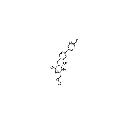 CCOCc1nc(=O)c(Cc2ccc(-c3ccc(F)nc3)cc2)c(O)[nH]1